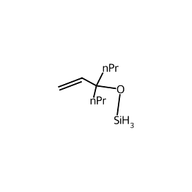 C=CC(CCC)(CCC)O[SiH3]